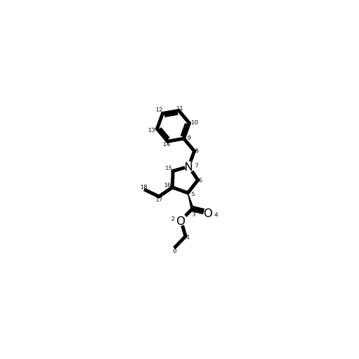 CCOC(=O)[C@@H]1CN(Cc2ccccc2)CC1CC